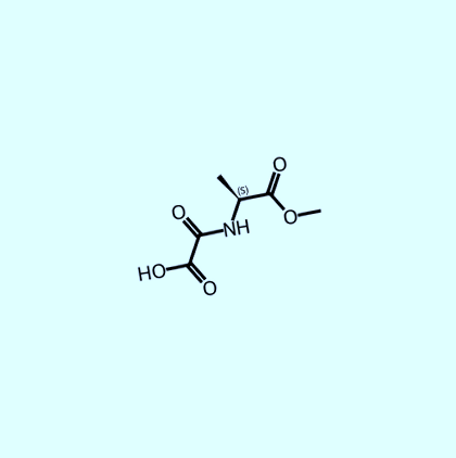 COC(=O)[C@H](C)NC(=O)C(=O)O